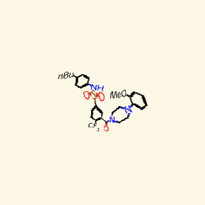 CCCCc1ccc(NS(=O)(=O)c2ccc(C(F)(F)F)c(C(=O)N3CCN(c4ccccc4OC)CC3)c2)cc1